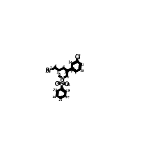 CN(CC(CCCBr)c1cccc(Cl)c1)S(=O)(=O)c1ccccc1